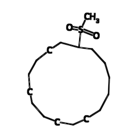 CS(=O)(=O)C1CCCCCCCCCCCCCCC1